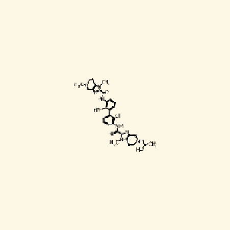 CCCc1c(NC(=O)c2nc3c(n2C)CCN(C)C3)cccc1-c1cccc(NC(=O)c2nc3c(n2C)CCN(CC(C)O)C3)c1Cl